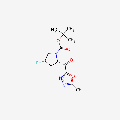 Cc1nnc(C(=O)[C@@H]2C[C@H](F)CN2C(=O)OC(C)(C)C)o1